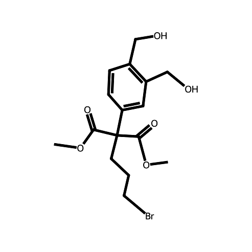 COC(=O)C(CCCBr)(C(=O)OC)c1ccc(CO)c(CO)c1